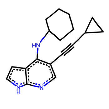 C(#CC1CC1)c1cnc2[nH]ccc2c1NC1CCCCC1